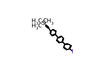 C[Si](C)(C)C#Cc1ccc(-c2ccc(-c3ccc(I)cc3)cc2)cc1